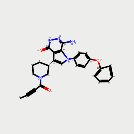 CC#CC(=O)N1CCC[C@H](c2cn(-c3ccc(Oc4ccccc4)cc3)c3c(N)n[nH]c(=O)c23)C1